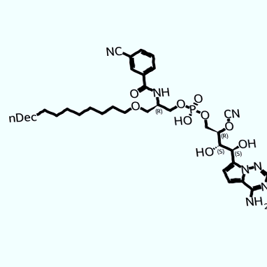 CCCCCCCCCCCCCCCCCCOC[C@H](COP(=O)(O)OC[C@@H](OC#N)[C@@H](O)[C@@H](O)c1ccc2c(N)ncnn12)NC(=O)c1cccc(C#N)c1